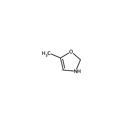 CC1=[C]NCO1